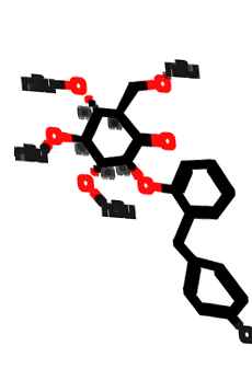 CCCCOC[C@H]1C(=O)[C@@H](Oc2ccccc2Cc2ccc(OC)cc2)[C@H](OCCCC)[C@@H](OCCCC)[C@@H]1OCCCC